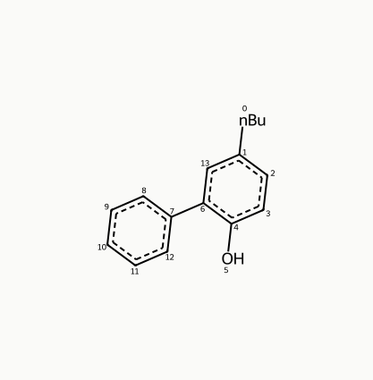 CCCCc1ccc(O)c(-c2ccccc2)c1